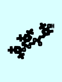 Cc1cc(CCC(=O)OCCOP(Oc2ccc(C(C)(C)C)cc2C(C)(C)C)Oc2ccc(C(C)(C)C)cc2C(C)(C)C)cc(C(C)(C)C)c1O